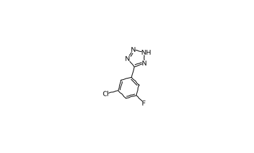 Fc1cc(Cl)cc(-c2nn[nH]n2)c1